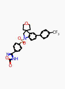 O=c1[nH]c(-c2ccc(S(=O)(=O)N3CC4(CCOCC4)c4cc(-c5ccc(C(F)(F)F)cc5)ccc43)cc2)no1